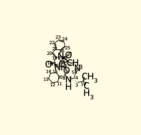 CC(C)C[C@@H](C#N)NC(=O)[C@@H]1CCCC[C@@H]1NC(=O)c1cc2ccccc2n1S(C)(=O)=O